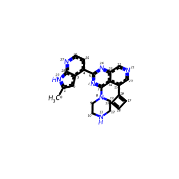 Cc1cc2c(-c3nc(N4CCNCC4)c4c(C5=CC=C5)cncc4n3)ccnc2[nH]1